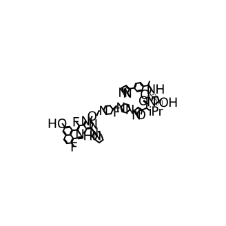 C#Cc1c(F)ccc2cc(O)cc(-c3ncc4c(N5CC6CCC(C5)N6)nc(OCCN5CCC(F)(CN6CCN(c7cc(C(C(=O)N8C[C@H](O)C[C@H]8C(=O)NC(C)c8ccc(-c9ccnn9C)cc8)C(C)C)on7)CC6)CC5)nc4c3F)c12